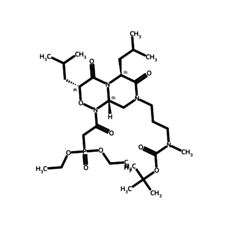 CCOP(=O)(CC(=O)N1O[C@H](CC(C)C)C(=O)N2[C@@H]1CN(CCCN(C)C(=O)OC(C)(C)C)C(=O)[C@@H]2CC(C)C)OCC